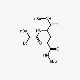 C=C(NCCCC)C(CCC(=O)NCCCC)NC(=O)C(CC)CCCC